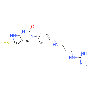 N=C(N)NCCCNCc1ccc(-n2cc3cc(S)[nH]c3nc2=O)cc1